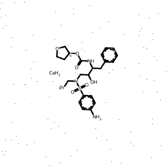 CC(C)CN(CC(O)C(Cc1ccccc1)NC(=O)O[C@H]1CCOC1)S(=O)(=O)c1ccc(N)cc1.[CaH2]